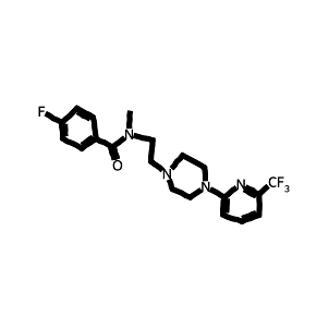 CN(CCN1CCN(c2cccc(C(F)(F)F)n2)CC1)C(=O)c1ccc(F)cc1